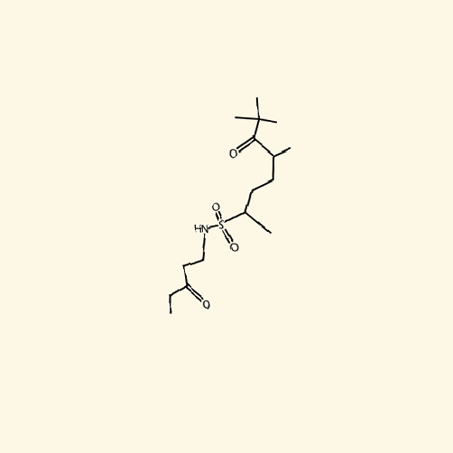 CCC(=O)CCNS(=O)(=O)C(C)CCC(C)C(=O)C(C)(C)C